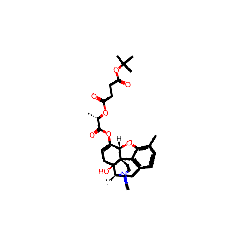 Cc1ccc2c3c1O[C@H]1C(OC(=O)[C@H](C)OC(=O)CCC(=O)OC(C)(C)C)=CC[C@@]4(O)[C@@H](C2)N(C)CC[C@]314